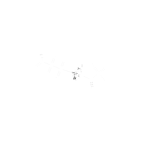 CS(=S)(=S)S(=S)S12=S3=S=1=[SH]2=[SH]=3S(=S)(=S)S(=S)(=S)[SH](=S)=S